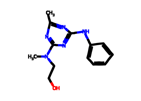 Cc1nc(Nc2ccccc2)nc(N(C)CCO)n1